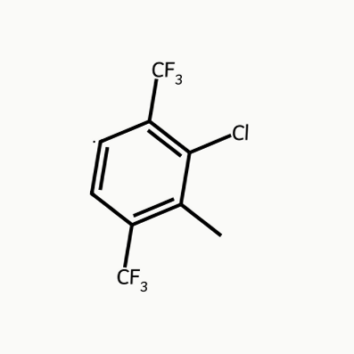 Cc1c(C(F)(F)F)c[c]c(C(F)(F)F)c1Cl